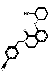 N#Cc1ccc(CN2CCc3cccc(O[C@H]4CCCC[C@@H]4O)c3C2=O)cc1